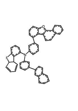 C1=CC2Sc3cccc(N(c4cccc(-c5ccc6ccccc6c5)c4)c4cccc(-c5cccc6oc7c8ccccc8ccc7c56)c4)c3C2C=C1